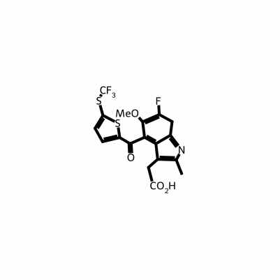 COC1=C(F)CC2=NC(C)=C(CC(=O)O)C2=C1C(=O)c1ccc(SC(F)(F)F)s1